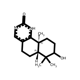 CC1(C)C(O)CC[C@]2(C)c3[nH]c(=O)ncc3CC[C@@H]12